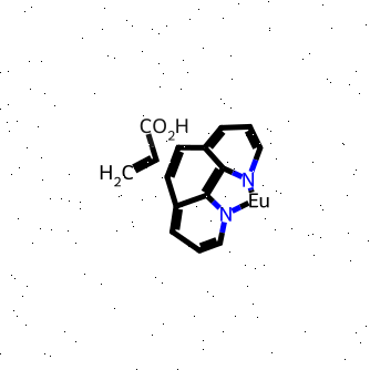 C1=C[N]2[Eu][N]3C=CC=c4ccc(c2c43)=C1.C=CC(=O)O